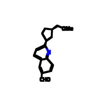 COC[C@@H]1CC[C@H](c2ccc3cc(C=O)ccc3n2)C1